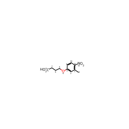 Cc1cc(OCCCC(=O)O)ccc1[N+](=O)[O-]